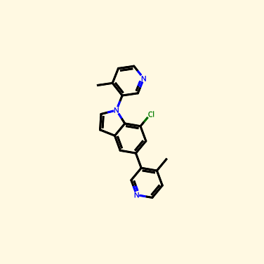 Cc1ccncc1-c1cc(Cl)c2c(ccn2-c2cnccc2C)c1